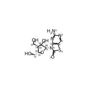 Nc1ncc2sc(=O)n([C@@H]3O[C@H](CO)[C@@H](CO)[C@H]3O)c2n1